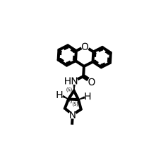 CN1C[C@@H]2[C@H](C1)[C@H]2NC(=O)C1c2ccccc2Oc2ccccc21